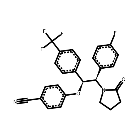 N#Cc1ccc(O[C@@H](c2ccc(C(F)(F)F)cc2)[C@@H](c2ccc(F)cc2)N2CCCC2=O)cc1